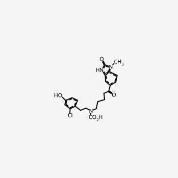 Cn1c(=O)[nH]c2cc(C(=O)CCCCN(CCc3ccc(O)cc3Cl)C(=O)O)ccc21